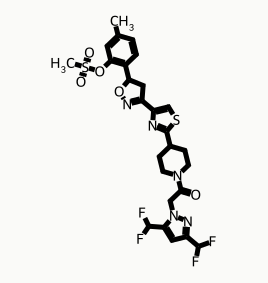 Cc1ccc(C2CC(c3csc(C4CCN(C(=O)Cn5nc(C(F)F)cc5C(F)F)CC4)n3)=NO2)c(OS(C)(=O)=O)c1